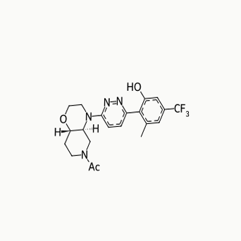 CC(=O)N1CC[C@@H]2OCCN(c3ccc(-c4c(C)cc(C(F)(F)F)cc4O)nn3)[C@H]2C1